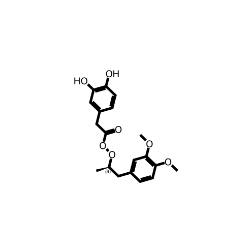 COc1ccc(C[C@@H](C)OOC(=O)Cc2ccc(O)c(O)c2)cc1OC